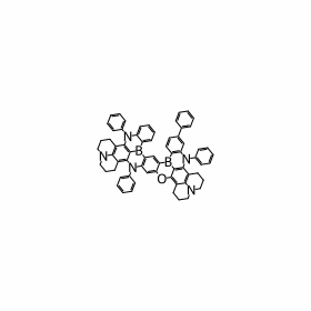 c1ccc(-c2ccc3c(c2)N(c2ccccc2)c2c4c5c(c6c2B3c2cc3c(cc2O6)N(c2ccccc2)c2c6c7c(c8c2B3c2ccccc2N8c2ccccc2)CCCN7CCC6)CCCN5CCC4)cc1